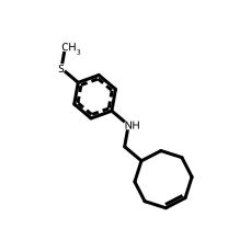 CSc1ccc(NCC2CC/C=C\CCC2)cc1